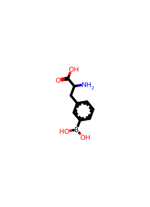 NC(Cc1cccc(B(O)O)c1)C(=O)O